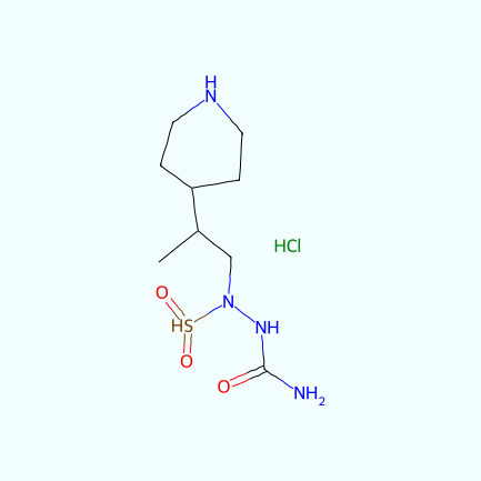 CC(CN(NC(N)=O)[SH](=O)=O)C1CCNCC1.Cl